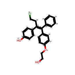 OCCOc1ccc(C(=C(CCCl)c2ccc(O)cc2)c2cc[c]cc2)cc1